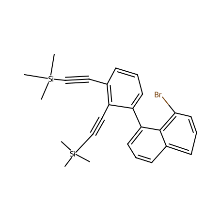 C[Si](C)(C)C#Cc1cccc(-c2cccc3cccc(Br)c23)c1C#C[Si](C)(C)C